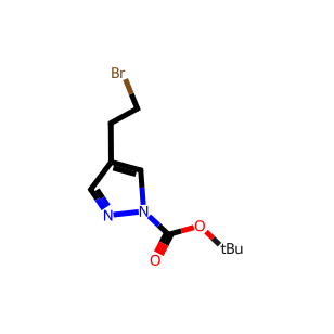 CC(C)(C)OC(=O)n1cc(CCBr)cn1